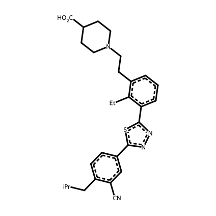 CCc1c(CCN2CCC(C(=O)O)CC2)cccc1-c1nnc(-c2ccc(CC(C)C)c(C#N)c2)s1